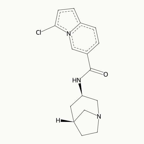 O=C(N[C@@H]1C[C@H]2CCN(C2)C1)c1ccc2ccc(Cl)n2c1